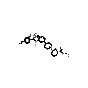 C[C@@H](Nc1cc(C2CCN([C@@H]3CCC[C@@H](C(N)=O)C3)CC2)ccc1Cl)c1ccc(Cl)cc1Cl